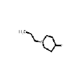 [CH2]CCN1CCC(F)CC1